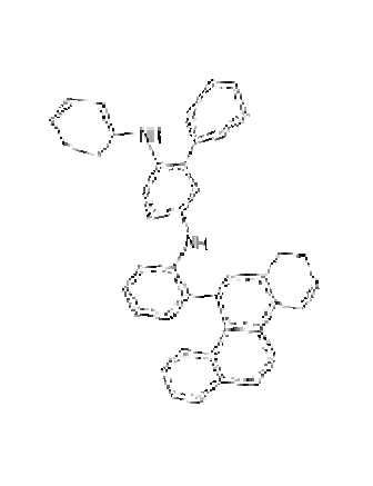 C1=CCCC(Nc2ccc(Nc3ccccc3-c3cc4c(c5ccc6ccccc6c35)C=CCC4)cc2-c2ccccc2)=C1